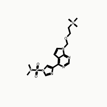 CN(C)S(=O)(=O)n1cnc(-c2ncnc3c2ccn3COCC[Si](C)(C)C)c1